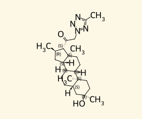 Cc1nnn(CC(=O)[C@H]2[C@H](C)C[C@H]3[C@@H]4CC[C@H]5C[C@](C)(O)CC[C@]5(C)[C@H]4CC[C@@]32C)n1